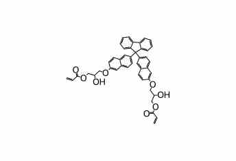 C=CC(=O)OCC(O)COc1ccc2cc(C3(c4ccc5cc(OCC(O)COC(=O)C=C)ccc5c4)c4ccccc4-c4ccccc43)ccc2c1